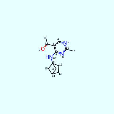 CC(=O)c1cnc(C)nc1NC12CCC(C1)C2